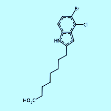 O=C(O)CCCCCCCc1cc2c(Cl)c(Br)ccc2[nH]1